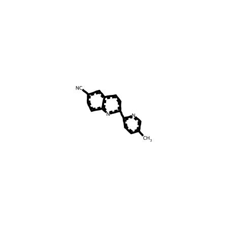 Cc1ccc(-c2ccc3cc(C#N)ccc3n2)nc1